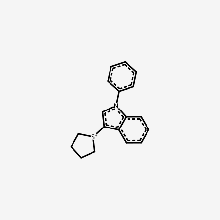 c1ccc(-n2cc([S+]3CCCC3)c3ccccc32)cc1